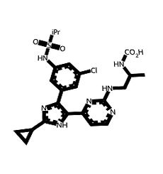 CC(CNc1nccc(-c2[nH]c(C3CC3)nc2-c2cc(Cl)cc(NS(=O)(=O)C(C)C)c2)n1)NC(=O)O